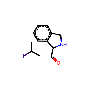 CC(C)I.O=CC1NCc2ccccc21